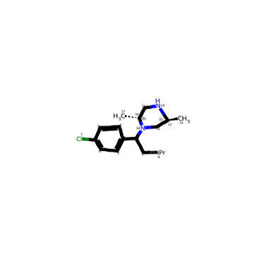 CC(C)CC(c1ccc(Cl)cc1)N1C[C@H](C)NC[C@H]1C